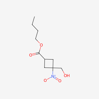 CCCCOC(=O)C1CC(CO)([N+](=O)[O-])C1